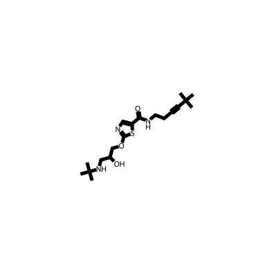 CC(C)(C)C#CCCNC(=O)c1cnc(OCC(O)CNC(C)(C)C)s1